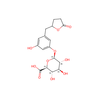 O=C1CCC(Cc2cc(O)cc(O[C@@H]3O[C@H](C(=O)O)[C@@H](O)[C@H](O)[C@H]3O)c2)O1